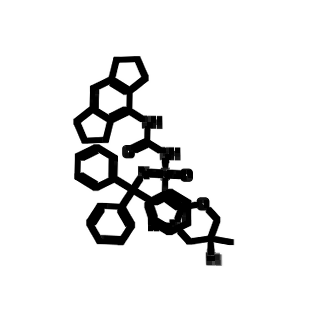 CC[C@]1(C)COc2c([S@@](=O)(=NC(c3ccccc3)(c3ccccc3)c3ccccc3)NC(=O)Nc3c4c(cc5c3CCC5)CCC4)cnn2C1